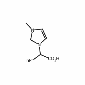 CCCC(C(=O)O)N1C=CN(C)C1